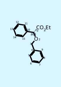 CCOC(=O)[C@H](OCc1ccccc1)c1ccccc1